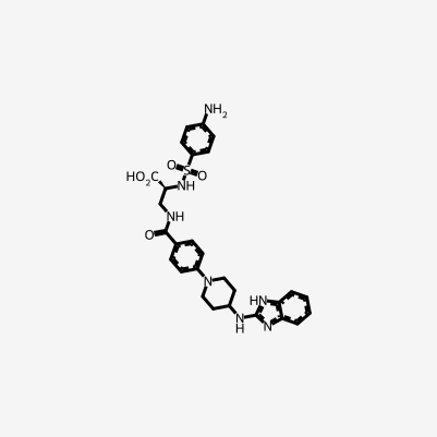 Nc1ccc(S(=O)(=O)N[C@@H](CNC(=O)c2ccc(N3CCC(Nc4nc5ccccc5[nH]4)CC3)cc2)C(=O)O)cc1